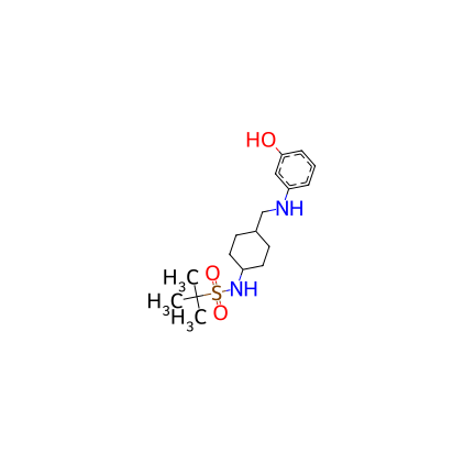 CC(C)(C)S(=O)(=O)NC1CCC(CNc2cccc(O)c2)CC1